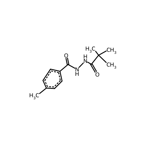 Cc1ccc(C(=O)NNC(=O)C(C)(C)C)cc1